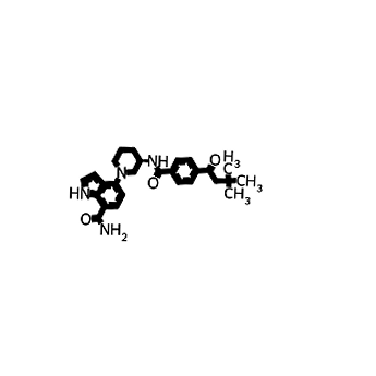 CC(C)(C)CC(=O)c1ccc(C(=O)N[C@@H]2CCCN(c3ccc(C(N)=O)c4[nH]ccc34)C2)cc1